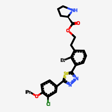 CCc1c(CCOC(=O)[C@H]2CCCN2)cccc1-c1nnc(-c2ccc(OC(C)C)c(Cl)c2)s1